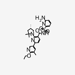 CCOc1ncc(-c2ccc(C(=O)NS(=O)(=O)c3cccc(N)n3)c(N3C[C@@H](C)CC3(C)C)n2)cc1C